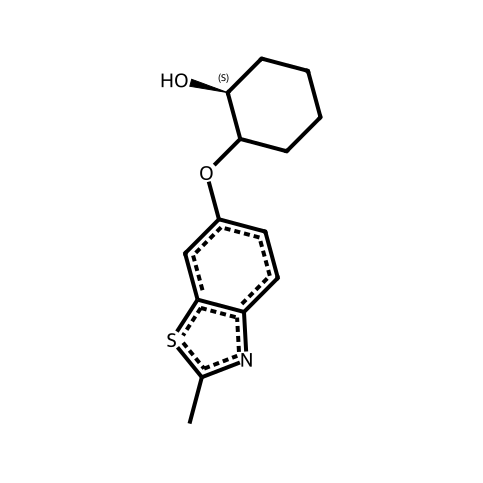 Cc1nc2ccc(OC3CCCC[C@@H]3O)cc2s1